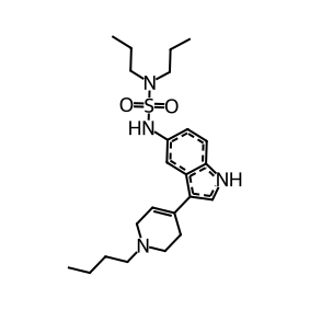 CCCCN1CC=C(c2c[nH]c3ccc(NS(=O)(=O)N(CCC)CCC)cc23)CC1